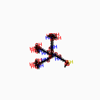 C=CCOP(=O)(S)OCCCCCCNC(=O)CCCC(=O)N1C[C@H](COCCC(=O)NCCCCCCOC2OC(CO)C(O)C(O)C2NC(C)=O)C(OCCC(=O)NCCCCCCOC2OC(CO)C(O)C(O)C2NC(C)=O)[C@@H](COCCC(=O)NCCCCCCOC2OC(CO)C(O)C(O)C2NC(C)=O)C1